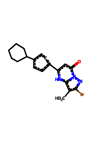 O=C(O)c1c(Br)nn2c(=O)cc(-c3ccc(C4CCCCC4)cc3)[nH]c12